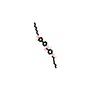 CCCCCCCCOc1ccc(-c2ccc(OC(=O)c3ccc(OC[C@H](F)CCCCCC)cc3F)cc2)cc1F